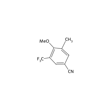 COc1c(C)cc(C#N)cc1C(F)(F)F